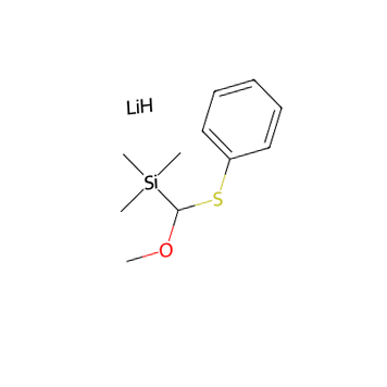 COC(Sc1ccccc1)[Si](C)(C)C.[LiH]